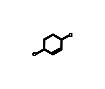 ClC1C=CC(Cl)CC1